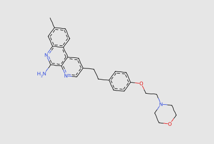 Cc1ccc2c(c1)nc(N)c1ncc(CCc3ccc(OCCN4CCOCC4)cc3)cc12